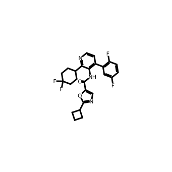 O=C(Nc1c(-c2cc(F)ccc2F)ccnc1C1CCC(F)(F)CC1)c1cnc(C2CCC2)o1